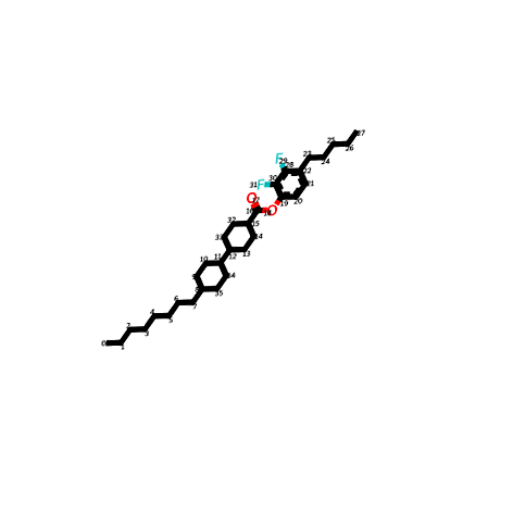 CCCCCCCCC1CCC(C2CCC(C(=O)Oc3ccc(CCCCC)c(F)c3F)CC2)CC1